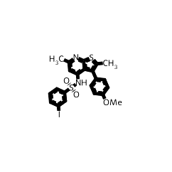 COc1ccc(-c2c(C)sc3nc(C)cc(NS(=O)(=O)c4cccc(I)c4)c23)cc1